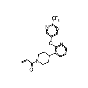 C=CC(=O)N1CCC(c2cccnc2Oc2cnc(C(F)(F)F)nc2)CC1